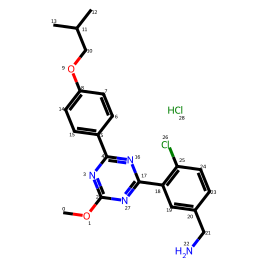 COc1nc(-c2ccc(OCC(C)C)cc2)nc(-c2cc(CN)ccc2Cl)n1.Cl